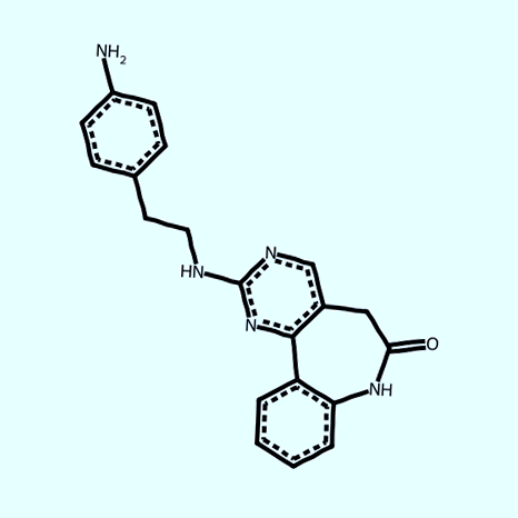 Nc1ccc(CCNc2ncc3c(n2)-c2ccccc2NC(=O)C3)cc1